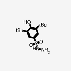 CC(C)(C)c1cc(S(=O)(=O)NN)cc(C(C)(C)C)c1O